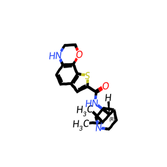 CC1(C)[C@H](NC(=O)c2cc3ccc4c(c3s2)OCCN4)C2CCN1CC2